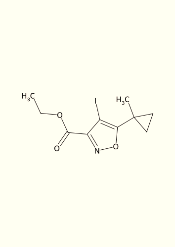 CCOC(=O)c1noc(C2(C)CC2)c1I